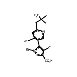 CCn1nc(C(=O)O)c(Cl)c1-c1cnc(CC(C)(C)C(F)(F)F)cc1C(C)C